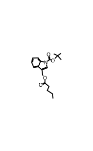 CCCCC(=O)OCc1cn(C(=O)OC(C)(C)C)c2ccccc12